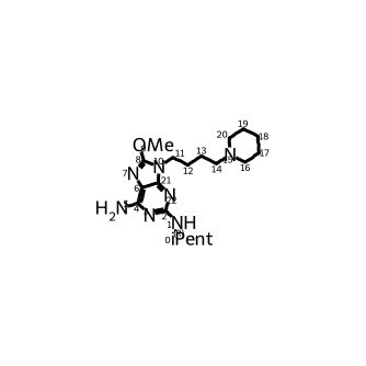 CCC[C@@H](C)Nc1nc(N)c2nc(OC)n(CCCCN3CCCCC3)c2n1